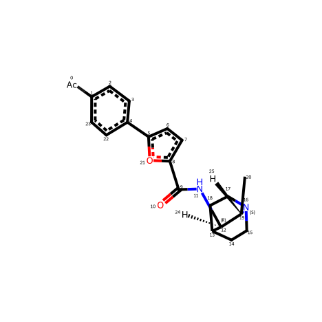 CC(=O)c1ccc(-c2ccc(C(=O)N[C@@H]3C4CCN(CC4)[C@H]3C)o2)cc1